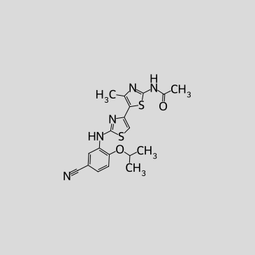 CC(=O)Nc1nc(C)c(-c2csc(Nc3cc(C#N)ccc3OC(C)C)n2)s1